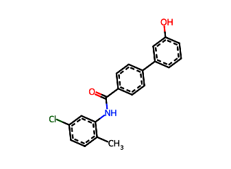 Cc1ccc(Cl)cc1NC(=O)c1ccc(-c2cccc(O)c2)cc1